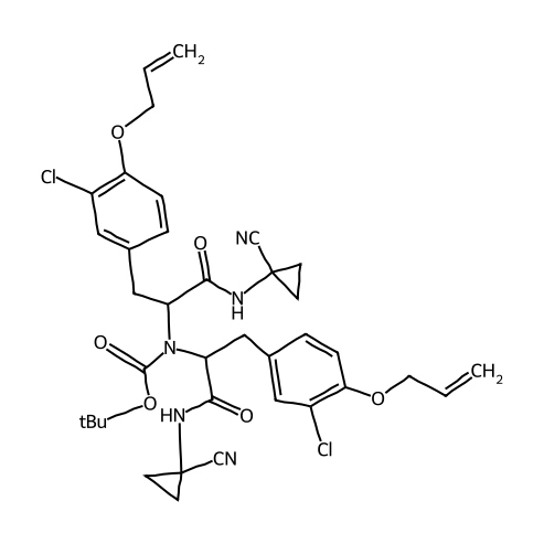 C=CCOc1ccc(CC(C(=O)NC2(C#N)CC2)N(C(=O)OC(C)(C)C)C(Cc2ccc(OCC=C)c(Cl)c2)C(=O)NC2(C#N)CC2)cc1Cl